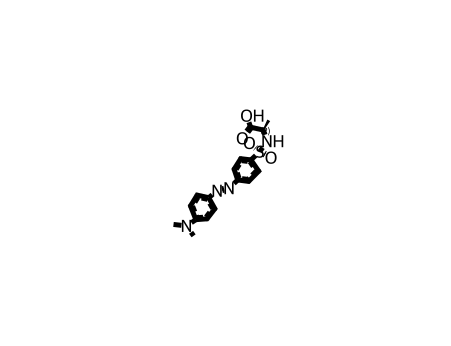 C[C@@H](NS(=O)(=O)c1ccc(N=Nc2ccc(N(C)C)cc2)cc1)C(=O)O